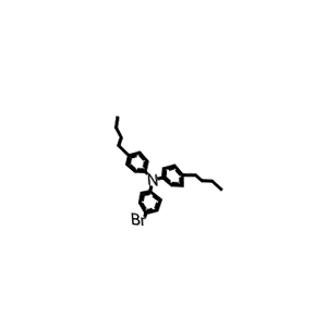 CCCCc1ccc(N(c2ccc(Br)cc2)c2ccc(CCCC)cc2)cc1